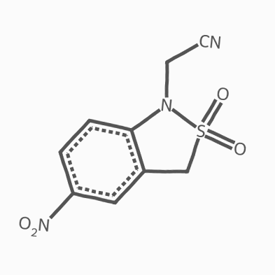 N#CCN1c2ccc([N+](=O)[O-])cc2CS1(=O)=O